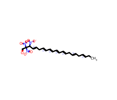 CC/C=C/C/C=C/C/C=C/C=C/C=C/C=C/C/C=C/C([N+](=O)[O-])C([C]=O)([N+](=O)[O-])[N+](=O)[O-]